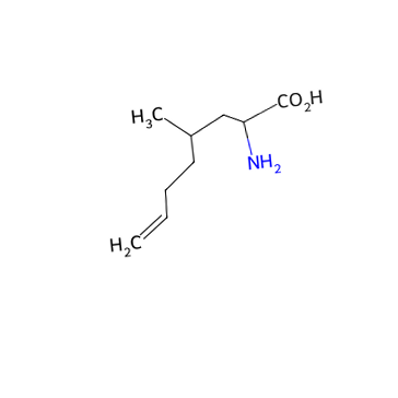 C=CCCC(C)CC(N)C(=O)O